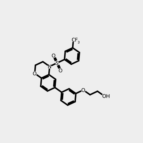 O=S(=O)(c1cccc(C(F)(F)F)c1)N1CCOc2ccc(-c3cccc(OCCO)c3)cc21